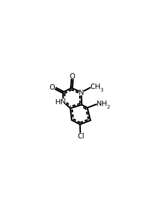 Cn1c(=O)c(=O)[nH]c2cc(Cl)cc(N)c21